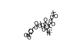 CC1=C(C(=O)OCOC(=O)C(C)(C)C)N2C(=O)[C@H](C(C)OC(=O)OCc3ccc([N+](=O)[O-])cc3)[C@@H]2[S@@+]([O-])C1=[N+]=[N-]